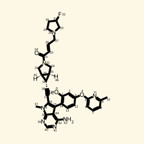 COc1cc(Oc2cccc(C)n2)ccc1-c1c(C#C[C@@H]2[C@H]3CN(C(=O)/C=C/CN4CCC(F)C4)C[C@@H]23)n(C)c2ncnc(N)c12